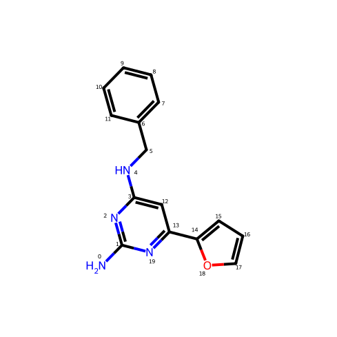 Nc1nc(NCc2ccccc2)cc(-c2ccco2)n1